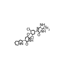 C=C1NC(=O)N(c2cc(Cl)c(Oc3cc(-c4cc5ccccn5n4)c(=O)[nH]n3)c(Cl)c2)N=C1N